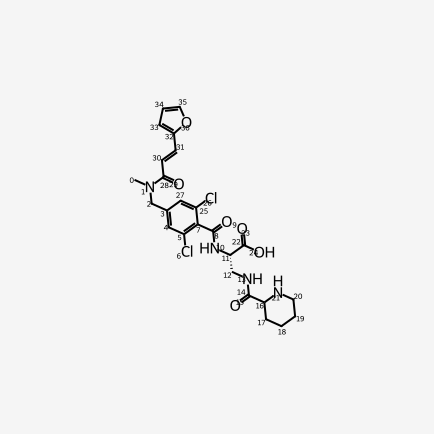 CN(Cc1cc(Cl)c(C(=O)N[C@@H](CNC(=O)C2CCCCN2)C(=O)O)c(Cl)c1)C(=O)/C=C/c1ccco1